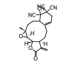 C=C1C(=O)O[C@@H]2[C@H]3O[C@]3(C)CCC3C(=CCC(C#N)(C#N)C3(C#N)C#N)CC[C@@H]12